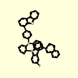 Fc1ccc2c(c1)c1ccccc1n2-c1ccccc1N(c1ccc(-c2ccc3ccccc3c2)cc1)c1ccc(-c2cccc3c2oc2ccccc23)cc1